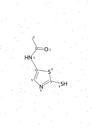 CC(=O)Nc1cnc(S)s1